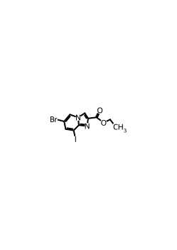 CCOC(=O)c1cn2cc(Br)cc(I)c2n1